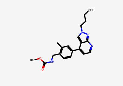 Cc1cc(-c2ccnc3nn(CCCC=O)cc23)ccc1CNC(=O)OC(C)(C)C